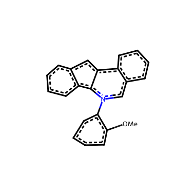 COc1ccccc1-n1cc2ccccc2c2cc3ccccc3c1-2